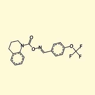 O=C(ON=Cc1ccc(OC(F)(F)F)cc1)N1CCCc2ccccc21